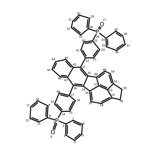 O=P(c1ccccc1)(c1ccccc1)c1ccc(-c2c3c(c(-c4ccc(P(=O)(c5ccccc5)c5ccccc5)cc4)c4ccccc24)-c2ccc4c5c(ccc-3c25)CC4)cc1